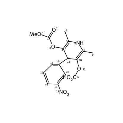 COC(=O)OC1=C(C)NC(C)=C(OC(=O)O)C1c1cccc([N+](=O)[O-])c1